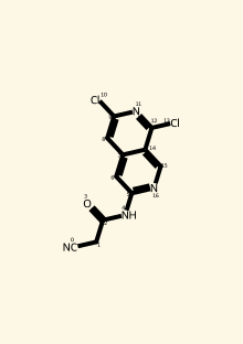 N#CCC(=O)Nc1cc2cc(Cl)nc(Cl)c2cn1